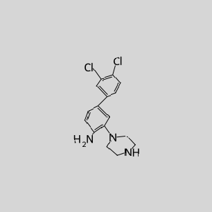 Nc1ccc(-c2ccc(Cl)c(Cl)c2)cc1N1CCNCC1